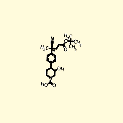 CC(C)(C)OC(=O)CC[C@@](C)(C#N)c1ccc(C2CCN(C(=O)O)CC2O)cc1